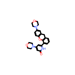 O=c1cc(N2CCOCC2)cc(-c2cccc3c2Oc2ccc(N4CCOCC4)cc2C3)[nH]1